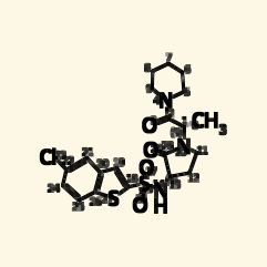 C[C@@H](C(=O)N1CCCCC1)N1CC[C@H](NS(=O)(=O)c2cc3cc(Cl)ccc3s2)C1=O